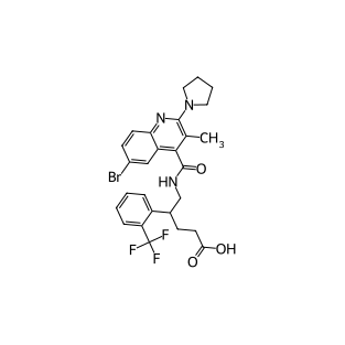 Cc1c(N2CCCC2)nc2ccc(Br)cc2c1C(=O)NCC(CCC(=O)O)c1ccccc1C(F)(F)F